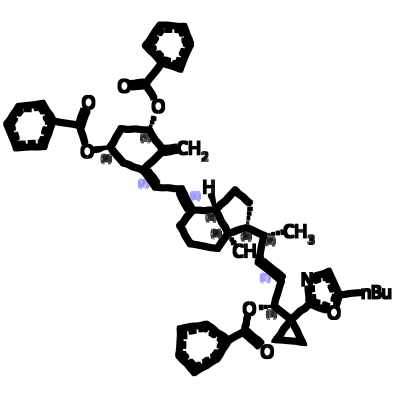 C=C1/C(=C\C=C2/CCC[C@]3(C)[C@@H]([C@H](C)/C=C/[C@@H](OC(=O)c4ccccc4)C4(c5ncc(CCCC)o5)CC4)CC[C@@H]23)C[C@@H](OC(=O)c2ccccc2)C[C@@H]1OC(=O)c1ccccc1